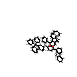 CC1(C)c2cccc(-c3ccccc3N(c3ccc(-c4cccc5c4oc4ccccc45)cc3)C3C=CC4=C(C3)C(c3ccccc3)(c3ccccc3)c3ccccc34)c2-c2ccc3ccccc3c21